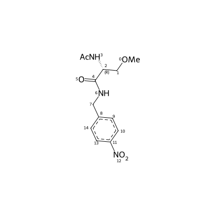 COC[C@@H](NC(C)=O)C(=O)NCc1ccc([N+](=O)[O-])cc1